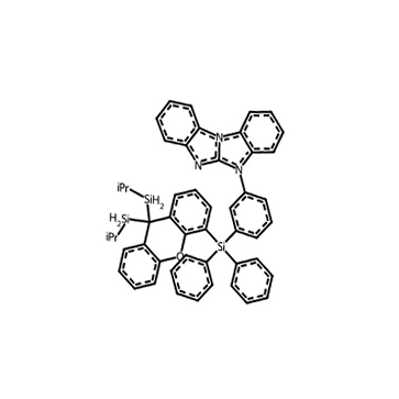 CC(C)[SiH2]C1([SiH2]C(C)C)c2ccccc2Oc2c1cccc2[Si](c1ccccc1)(c1ccccc1)c1cccc(-n2c3ccccc3n3c4ccccc4nc23)c1